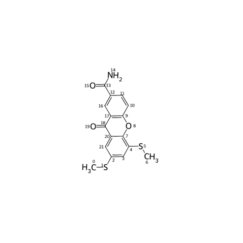 CSc1cc(SC)c2oc3ccc(C(N)=O)cc3c(=O)c2c1